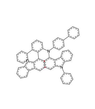 c1ccc(-c2ccc(N(c3cccc(-c4ccccc4)c3-c3cccc4c3oc3ccccc34)c3cccc4c3c3ccccc3n4-c3ccccc3)cc2)cc1